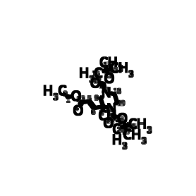 CCOC(=O)C=CC1(C)CN(C(=O)OC(C)(C)C)CCN1C(=O)OC(C)(C)C